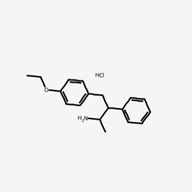 CCOc1ccc(CC(c2ccccc2)C(C)N)cc1.Cl